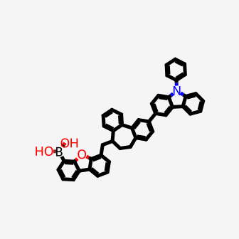 OB(O)c1cccc2c1oc1c(CC3CCc4ccc(-c5ccc6c(c5)c5ccccc5n6-c5ccccc5)cc4-c4ccccc43)cccc12